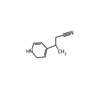 CC(CC#N)C1=CCNC=C1